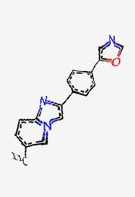 [11CH3]c1ccc2nc(-c3ccc(-c4cnco4)cc3)cn2c1